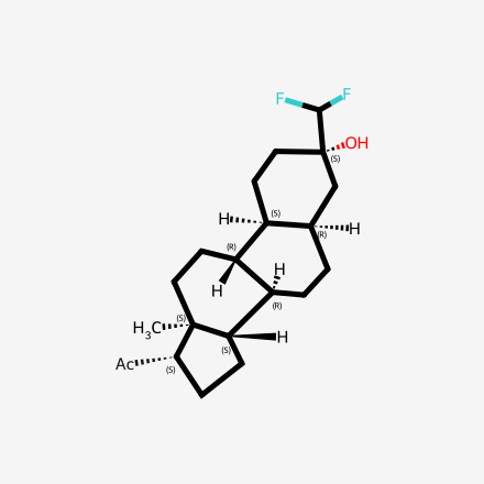 CC(=O)[C@H]1CC[C@H]2[C@@H]3CC[C@@H]4C[C@](O)(C(F)F)CC[C@@H]4[C@H]3CC[C@]12C